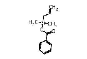 C=CC[Si](C)(C)OC(=O)c1ccccc1